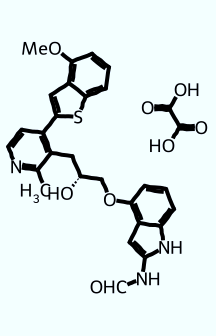 COc1cccc2sc(-c3ccnc(C)c3C[C@@H](O)COc3cccc4[nH]c(NC=O)cc34)cc12.O=C(O)C(=O)O